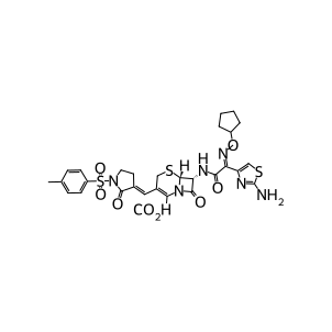 Cc1ccc(S(=O)(=O)N2CCC(=CC3=C(C(=O)O)N4C(=O)[C@@H](NC(=O)C(=NOC5CCCC5)c5csc(N)n5)[C@H]4SC3)C2=O)cc1